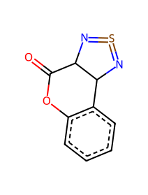 O=C1Oc2ccccc2C2N=S=NC12